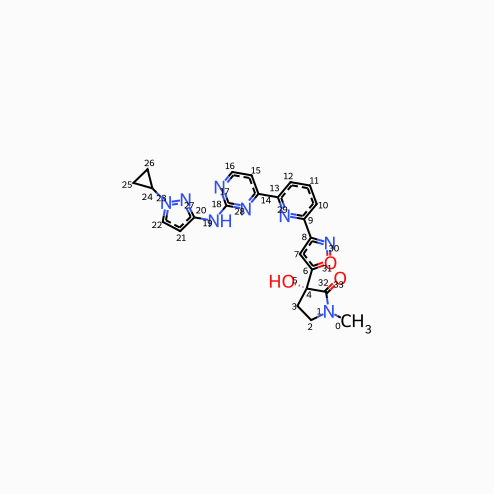 CN1CC[C@@](O)(c2cc(-c3cccc(-c4ccnc(Nc5ccn(C6CC6)n5)n4)n3)no2)C1=O